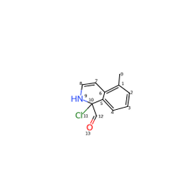 Cc1cccc2c1C=CNC2(Cl)C=O